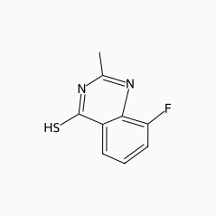 Cc1nc(S)c2cccc(F)c2n1